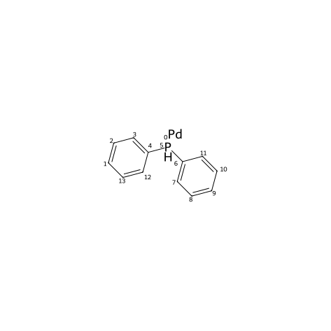 [Pd].c1ccc(Pc2ccccc2)cc1